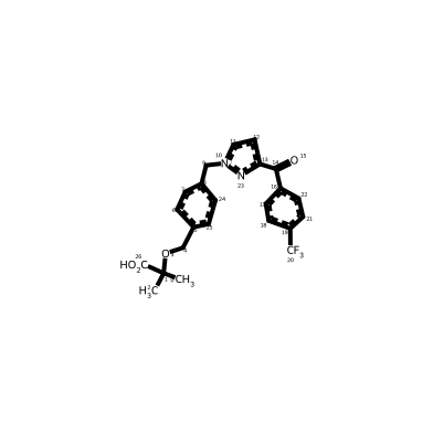 CC(C)(OCc1ccc(Cn2ccc(C(=O)c3ccc(C(F)(F)F)cc3)n2)cc1)C(=O)O